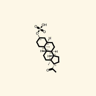 CC(=O)[C@H]1CC[C@H]2[C@@H]3CC[C@@H]4C[C@@H](OS(=O)(=O)O)CC[C@]4(C)[C@H]3CC[C@]12C